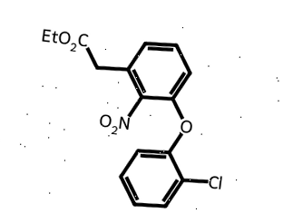 CCOC(=O)Cc1cccc(Oc2ccccc2Cl)c1[N+](=O)[O-]